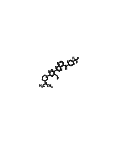 CN(C)C1CCCN(c2cc(CF)c(-c3cnc4c(Nc5ccc(C(F)(F)F)cn5)ccnc4n3)nn2)C1